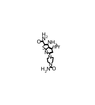 CCCc1cc(N2CCN(C(N)=O)CC2)nc2sc(C(N)=O)c(N)c12